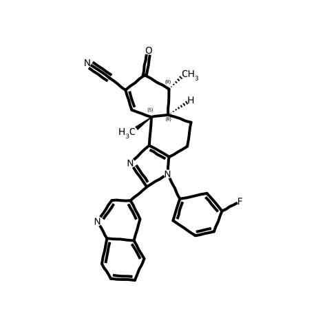 C[C@H]1C(=O)C(C#N)=C[C@@]2(C)c3nc(-c4cnc5ccccc5c4)n(-c4cccc(F)c4)c3CC[C@H]12